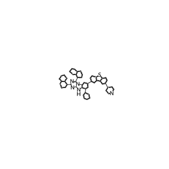 c1ccc(-c2cc(-c3ccc4sc5ccc(-c6ccncc6)cc5c4c3)cc3c2NC2N=C(c4cccc5ccccc45)N=C(c4cccc5ccccc45)N32)cc1